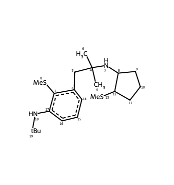 CSc1c(CC(C)(C)NC2CCCC2SC)cccc1NC(C)(C)C